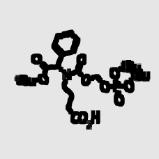 CC(C)(C)OC(=O)[C@H](c1ccccc1)N(CCCC(=O)O)C(=O)OCOP(=O)(OC(C)(C)C)OC(C)(C)C